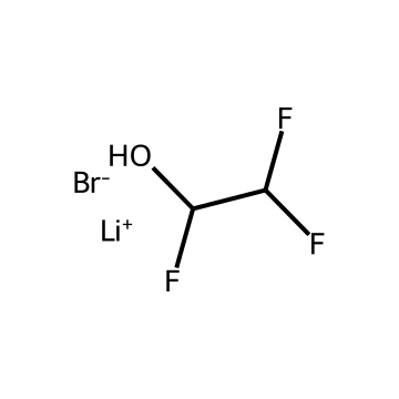 OC(F)C(F)F.[Br-].[Li+]